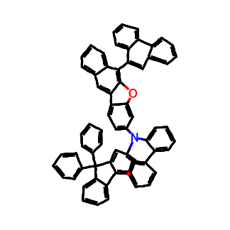 c1ccc(-c2ccccc2N(c2ccc3c(c2)C(c2ccccc2)(c2ccccc2)c2ccccc2-3)c2ccc3c(c2)oc2c(-c4cc5ccccc5c5ccccc45)c4ccccc4cc23)cc1